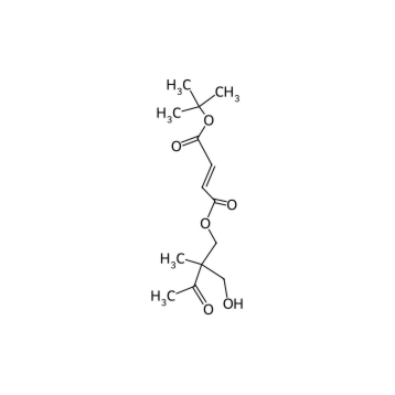 CC(=O)C(C)(CO)COC(=O)/C=C/C(=O)OC(C)(C)C